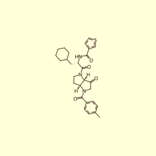 Cc1ccc(C(=O)N2CC(=O)[C@@H]3[C@H]2CCN3C(=O)[C@H](CC2CCCCC2)NC(=O)c2ccsc2)cc1